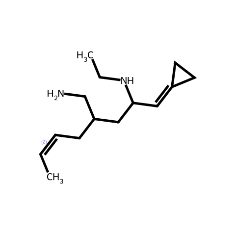 C/C=C\CC(CN)CC(C=C1CC1)NCC